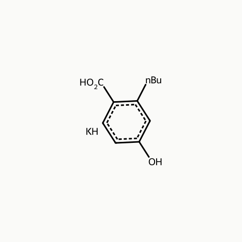 CCCCc1cc(O)ccc1C(=O)O.[KH]